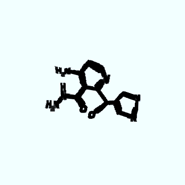 NNC(=O)c1c(N)ccnc1C(=O)c1cncnc1